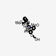 COc1cccc(OC)c1/C(=C/C(=N)C(=O)NC1(C2OC2OC(C)(C)C)C2CC3CC(C2)CC1C3)Nc1ccc(OCCCO)cc1C(C)C